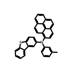 Cc1cccc(N(c2ccc3sc4ccccc4c3c2)c2ccc3ccc4cccc5ccc2c3c45)c1